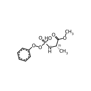 COC(=O)[C@H](C)NP(=O)(O)OOc1ccccc1